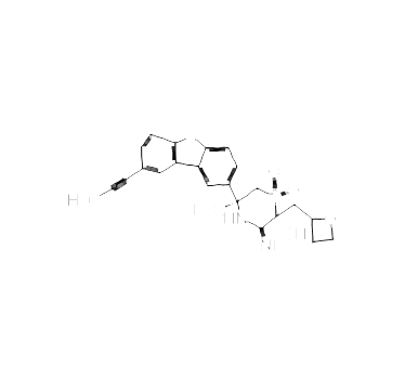 CC#Cc1ccc2sc3ccc([C@]4(C)CS(=O)(=O)[C@@](C)(CC5CCO5)C(=N)N4)cc3c2c1